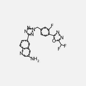 Nc1cnc2ccc(-c3nnn(Cc4ccc(-c5nnc(C(F)F)o5)c(F)c4)n3)cc2c1